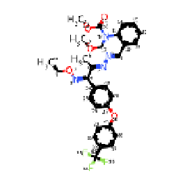 CCO\N=C(/C(C)=N/N=C/c1ccccc1N(COC)C(=O)OC)c1ccc(Oc2ccc(C(F)(F)F)cc2)cc1